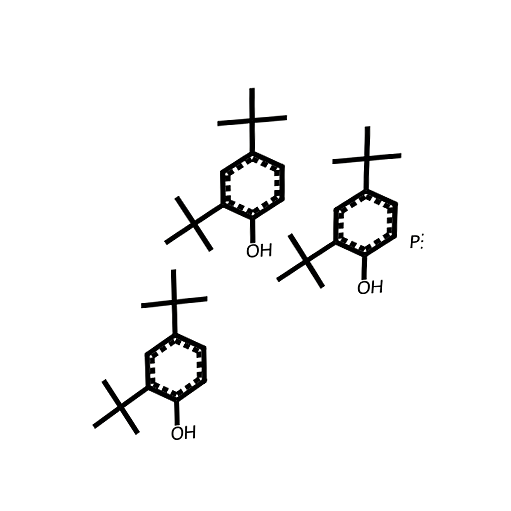 CC(C)(C)c1ccc(O)c(C(C)(C)C)c1.CC(C)(C)c1ccc(O)c(C(C)(C)C)c1.CC(C)(C)c1ccc(O)c(C(C)(C)C)c1.[P]